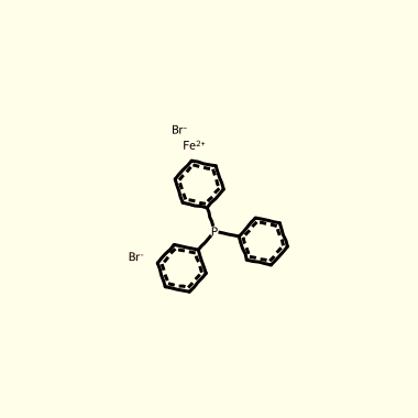 [Br-].[Br-].[Fe+2].c1ccc(P(c2ccccc2)c2ccccc2)cc1